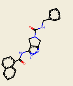 O=C(Nc1[nH]nc2c1CN(C(=O)NCc1ccccc1)C2)c1cccc2ccccc12